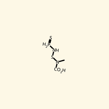 CN(SN[PH2]=S)C(=O)O